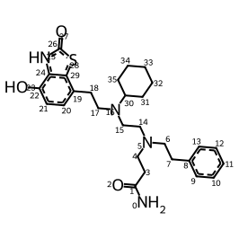 NC(=O)CCN(CCc1ccccc1)CCN(CCc1ccc(O)c2[nH]c(=O)sc12)C1CCCCC1